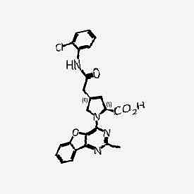 Cc1nc(N2C[C@@H](CC(=O)Nc3ccccc3Cl)C[C@H]2C(=O)O)c2oc3ccccc3c2n1